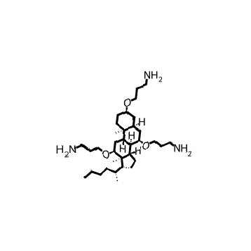 CCCC[C@@H](C)[C@H]1CC[C@H]2[C@@H]3[C@H](OCCCN)C[C@@H]4C[C@H](OCCCN)CC[C@]4(C)[C@H]3C[C@H](OCCCN)[C@]12C